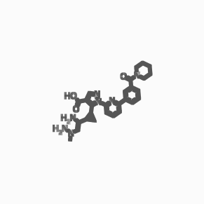 CN(N)/C=C(\N)C1CC1c1c(C(=O)O)cnn1-c1cccc(-c2cccc(C(=O)N3CCCCC3)c2)n1